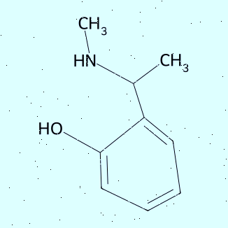 CNC(C)c1ccccc1O